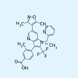 Cc1cc(C(=O)O)ccc1-c1c(C(F)(F)F)n([C@@H](C)c2ccccn2)c2cc(-c3c(C)noc3C)cnc12